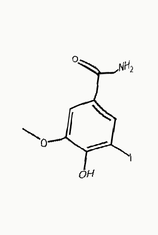 COc1cc(C(N)=O)cc(I)c1O